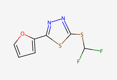 FC(F)Sc1nnc(-c2ccco2)s1